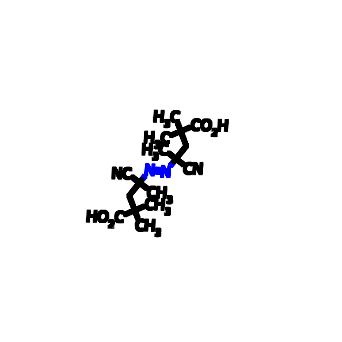 CC(C#N)(CC(C)(C)C(=O)O)N=NC(C)(C#N)CC(C)(C)C(=O)O